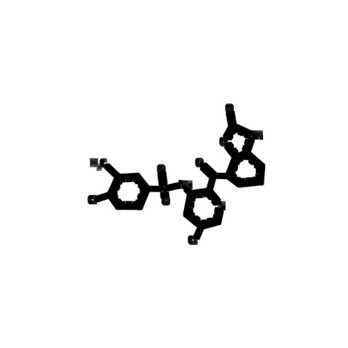 Cc1cc(S(=O)(=O)Nc2cc(Cl)cnc2C(=O)c2cccc3[nH]c(=O)oc23)ccc1Cl